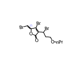 CCCOCCC(Br)C1=C(Br)/C(=C/Br)OC1=O